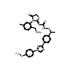 COCc1ccc(C)cc1N1C(=O)CS/C1=N\C(=O)NOC(C)c1ccc(-c2ncn(-c3ccc(OC(F)(F)F)cc3)n2)cc1